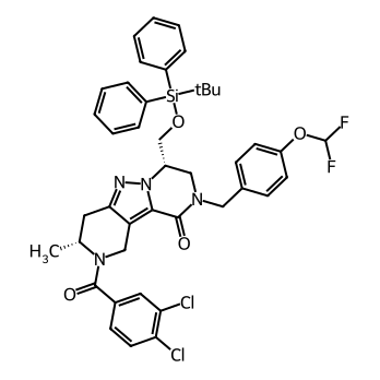 C[C@@H]1Cc2nn3c(c2CN1C(=O)c1ccc(Cl)c(Cl)c1)C(=O)N(Cc1ccc(OC(F)F)cc1)C[C@H]3CO[Si](c1ccccc1)(c1ccccc1)C(C)(C)C